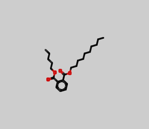 CCCCCCCCCCOC(=O)c1ccccc1C(=O)OCCCCC